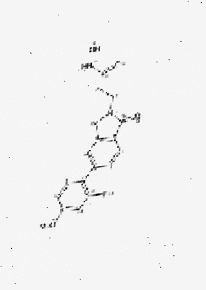 COc1ccc(-c2ccc3c(c2)CN(CCC(=O)NO)C3=O)c(F)c1